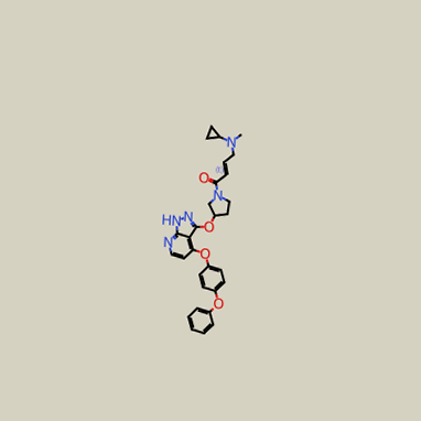 CN(C/C=C/C(=O)N1CCC(Oc2n[nH]c3nccc(Oc4ccc(Oc5ccccc5)cc4)c23)C1)C1CC1